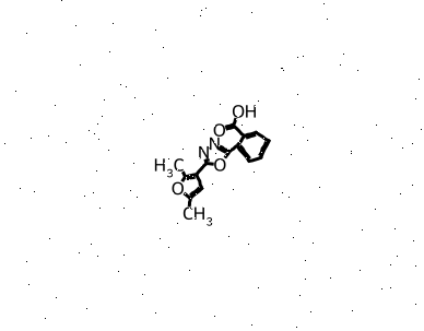 Cc1cc(-c2nnc(-c3ccccc3C(=O)O)o2)c(C)o1